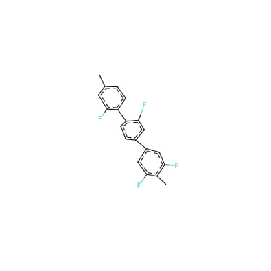 Cc1ccc(-c2ccc(-c3cc(F)c(C)c(F)c3)cc2F)c(F)c1